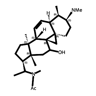 CN[C@H]1CC[C@]23C[C@]24C(O)C[C@]2(C)[C@@H](C(C)N(C)C(C)=O)CC[C@@]2(C)[C@@H]4C=C[C@H]3[C@H]1C